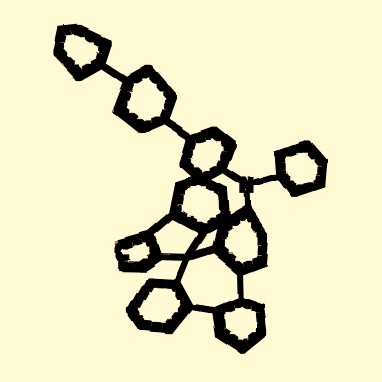 c1ccc(-c2ccc(-c3ccc(N(c4ccccc4)c4ccc5c(c4)C4(c6ccccc6-c6ccccc6-5)c5ccccc5-c5ccccc54)cc3)cc2)cc1